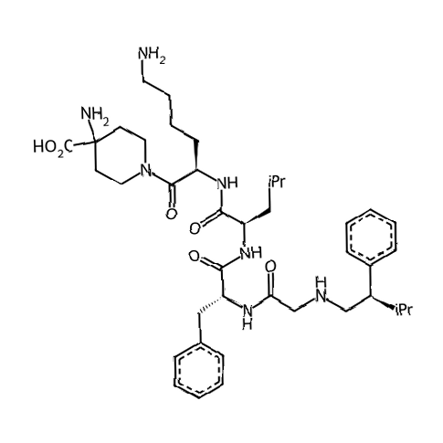 CC(C)C[C@@H](NC(=O)[C@@H](Cc1ccccc1)NC(=O)CNC[C@@H](c1ccccc1)C(C)C)C(=O)N[C@H](CCCCN)C(=O)N1CCC(N)(C(=O)O)CC1